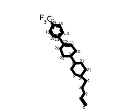 C=CCCCC1CCC(C2CC=C(c3ccc(C(F)(F)F)cc3)CC2)CC1